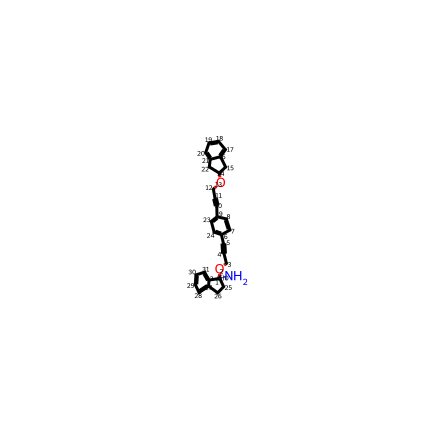 N[C@]1(OCC#Cc2ccc(C#CCOC3Cc4ccccc4C3)cc2)CCc2ccccc21